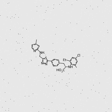 CCc1cc(Cl)cc(C)c1NC(Cc1ccc(-c2nnc(CNc3cc(C)ccn3)s2)cc1)C(=O)O